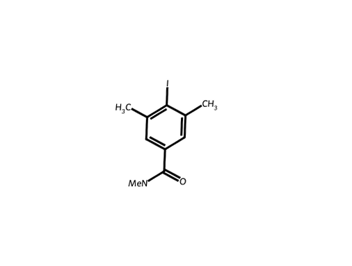 CNC(=O)c1cc(C)c(I)c(C)c1